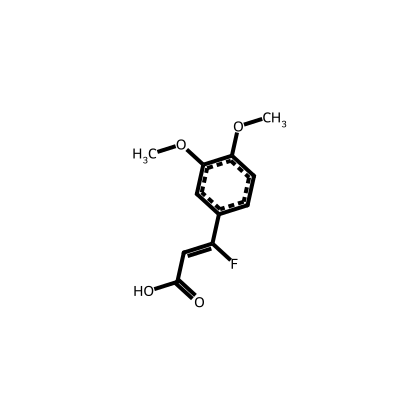 COc1ccc(C(F)=CC(=O)O)cc1OC